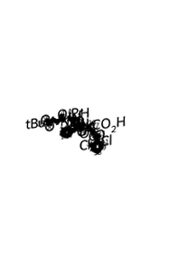 CC(C)[C@H](NC(=O)CCC(=O)OC(C)(C)C)C1=NOC(Cc2ccccc2)(C(=O)N[C@@H](CC(=O)O)C(=O)COC(=O)c2c(Cl)cccc2Cl)C1